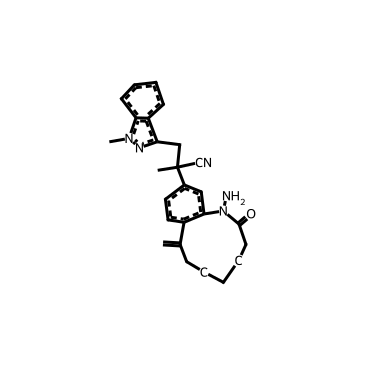 C=C1CCCCCC(=O)N(N)c2cc(C(C)(C#N)Cc3nn(C)c4ccccc34)ccc21